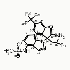 CS(=O)(=O)Nc1cccc2c1cnn2C(CC(F)F)(C(N)=O)c1ccc(C(F)(F)F)cc1